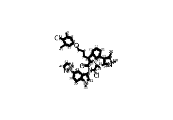 Cc1cc(OCCCc2c3n(c4c(-c5c(C)nn(C)c5C)cccc24)C(C)[C@@H](Cl)N(c2cn(C)c4ccc(-n5nccn5)cc24)C3=O)cc(C)c1Cl